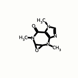 CN1C(=O)c2c(ncn2C)N(C)C2OC21